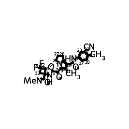 CNC(=O)C1(NC(=O)C(=O)c2c(C)c(C(=O)Nc3ccc(C)c(C#N)c3)c3n2CCC3)CC(F)(F)C1